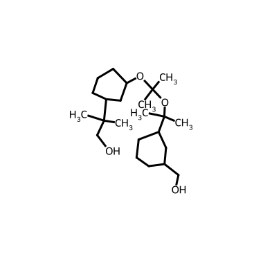 CC(C)(OC1CCCC(C(C)(C)CO)C1)OC(C)(C)C1CCCC(CO)C1